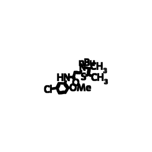 CCCCN1C(=CC(=O)Nc2cc(Cl)ccc2OC)SC(C)=C1C